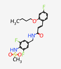 CCCCOc1cc(F)ccc1C=CC(=O)NCc1cc(F)c(NS(C)(=O)=O)c(F)c1